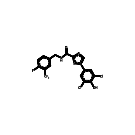 O=C(NCc1ccc(F)c(C(F)(F)F)c1)c1ncn(-c2cc(Cl)c(O)c(Cl)c2)n1